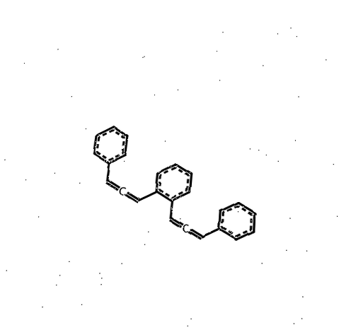 C(=Cc1ccccc1)=Cc1ccccc1C=C=Cc1ccccc1